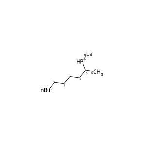 CCCCCCCCC(C)[PH][La]